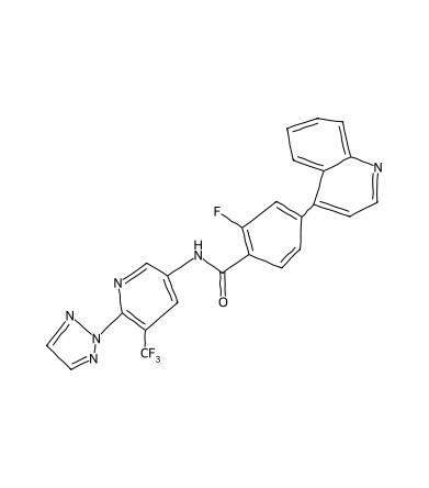 O=C(Nc1cnc(-n2nccn2)c(C(F)(F)F)c1)c1ccc(-c2ccnc3ccccc23)cc1F